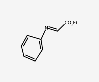 CCOC(=O)C=Nc1ccccc1